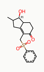 CC1CC2=C(CS(=O)(=O)c3ccccc3)C(=O)CCC2[C@@H]1O